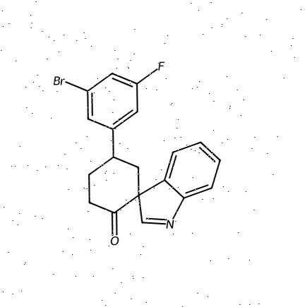 O=C1CCC(c2cc(F)cc(Br)c2)CC12C=Nc1ccccc12